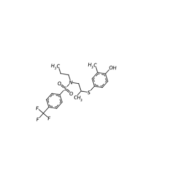 CCCN(CC(C)Sc1ccc(O)c(C)c1)S(=O)(=O)c1ccc(C(F)(F)F)cc1